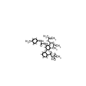 Cc1ccc(NC(=O)Nc2cc(-c3ccccc3C(=O)NS(C)(=O)=O)ccc2N(CC(C)C)CC(C)C)cc1